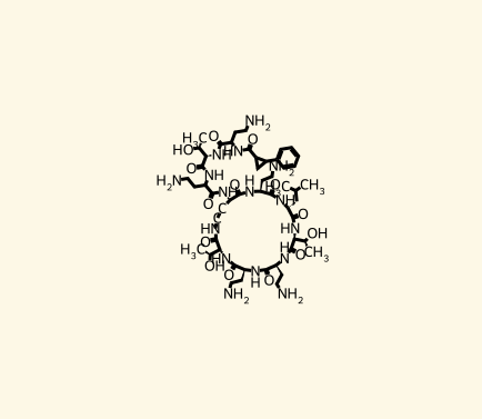 CC(C)C[C@H]1NC(=O)[C@H](CCN)NC(=O)[C@@H](NC(=O)C(CCN)NC(=O)[C@@H](NC(=O)C(CCN)NC(=O)C2CC2c2ccccc2)[C@H](C)O)CCNC(=O)[C@H]([C@H](C)O)NC(=O)[C@H](CCN)NC(=O)[C@H](CCN)NC(=O)[C@H]([C@H](C)O)NC1=O